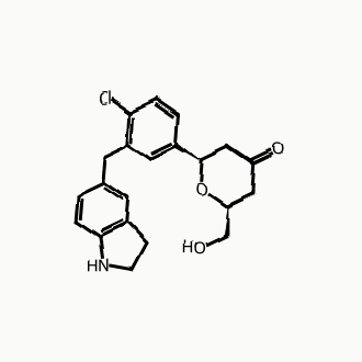 O=C1C[C@@H](CO)O[C@@H](c2ccc(Cl)c(Cc3ccc4c(c3)CCN4)c2)C1